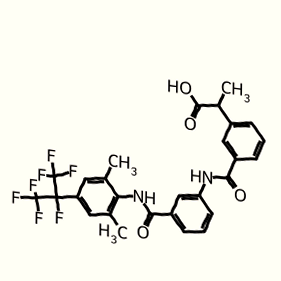 Cc1cc(C(F)(C(F)(F)F)C(F)(F)F)cc(C)c1NC(=O)c1cccc(NC(=O)c2cccc(C(C)C(=O)O)c2)c1